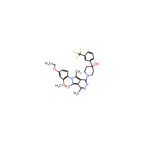 CCOc1ccc(-n2c(C)c3c(C)nnc(N4CCC(O)(c5cccc(C(F)(F)F)c5)CC4)c3c2C)c(OC)c1